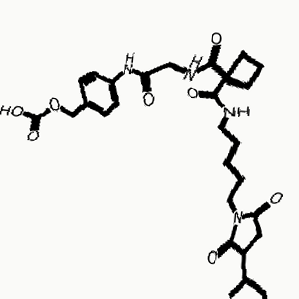 CCC(C)C1CC(=O)N(CCCCCNC(=O)C2(C(=O)NCC(=O)Nc3ccc(COC(=O)O)cc3)CCC2)C1=O